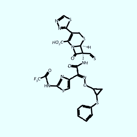 O=C(O)C1=C(c2nncs2)CS[C@@H]2N1C(=O)[C@@]2(C=S)NC(=O)C(=NOC1CC1Sc1ccccc1)c1csc(NC(=O)C(F)(F)F)n1